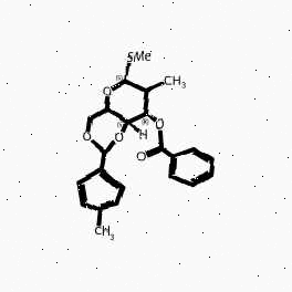 CS[C@@H]1OC2COC(c3ccc(C)cc3)O[C@H]2[C@H](OC(=O)c2ccccc2)C1C